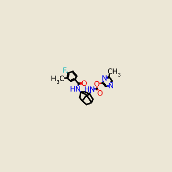 Cc1cncc(OC(=O)NC23CC4CC(C2)CC(NC(=O)c2ccc(F)c(C)c2)(C4)C3)n1